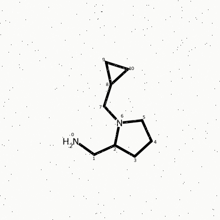 NCC1CCCN1CC1CC1